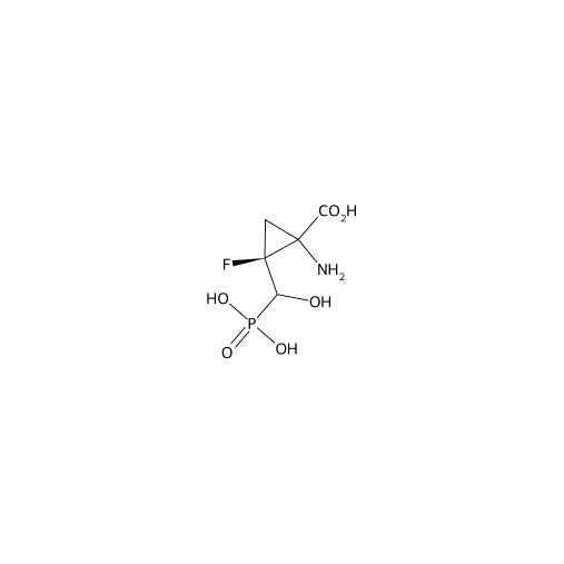 NC1(C(=O)O)C[C@@]1(F)C(O)P(=O)(O)O